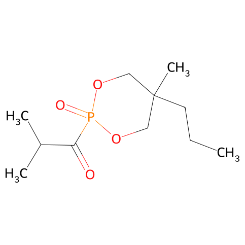 CCCC1(C)COP(=O)(C(=O)C(C)C)OC1